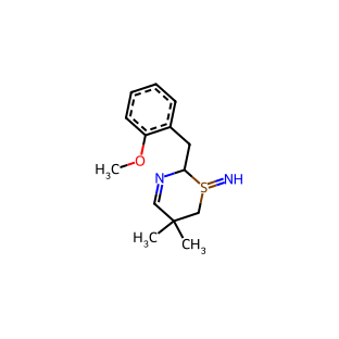 COc1ccccc1CC1N=CC(C)(C)CS1=N